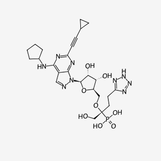 O=P(O)(O)[C@@](CO)(CCc1nn[nH]n1)OC[C@H]1O[C@@H](n2ncc3c(NC4CCCC4)nc(C#CC4CC4)nc32)[C@H](O)[C@@H]1O